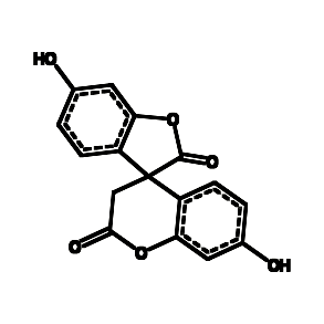 O=C1CC2(C(=O)Oc3cc(O)ccc32)c2ccc(O)cc2O1